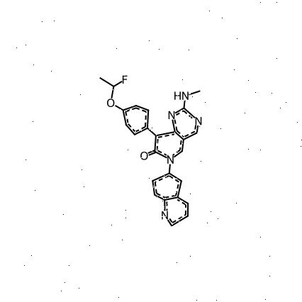 CNc1ncc2cn(-c3ccc4ncccc4c3)c(=O)c(-c3ccc(OC(C)F)cc3)c2n1